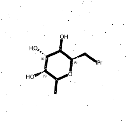 CC(C)C[C@H]1OC(C)[C@@H](O)[C@H](O)C1O